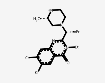 CCC[C@H](c1nc2cc(Cl)c(Cl)cc2c(=O)n1CC)N1CCN[C@@H](C)C1